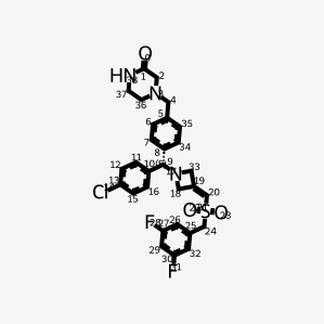 O=C1CN(Cc2ccc([C@@H](c3ccc(Cl)cc3)N3CC(=CS(=O)(=O)Cc4cc(F)cc(F)c4)C3)cc2)CCN1